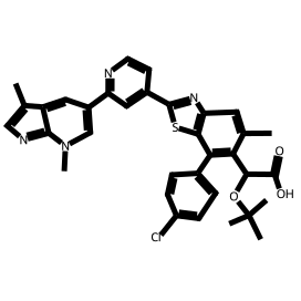 Cc1cnc2n(C)cc(-c3cc(-c4nc5cc(C)c(C(OC(C)(C)C)C(=O)O)c(-c6ccc(Cl)cc6)c5s4)ccn3)cc1-2